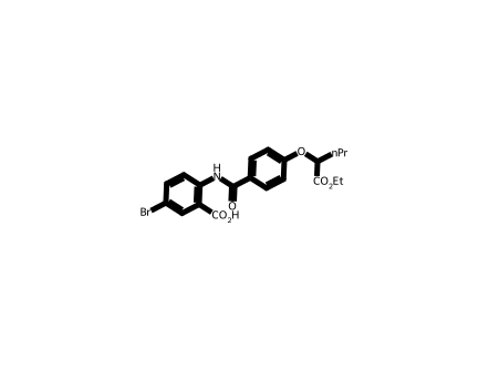 CCCC(Oc1ccc(C(=O)Nc2ccc(Br)cc2C(=O)O)cc1)C(=O)OCC